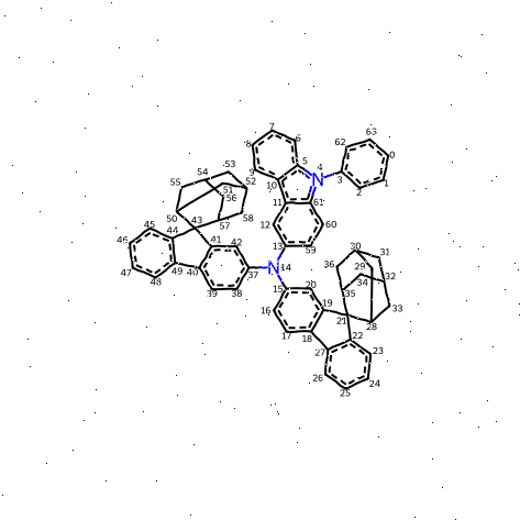 c1ccc(-n2c3ccccc3c3cc(N(c4ccc5c(c4)C4(c6ccccc6-5)C5CC6CC(C5)CC4C6)c4ccc5c(c4)C4(c6ccccc6-5)C5CC6CC(C5)CC4C6)ccc32)cc1